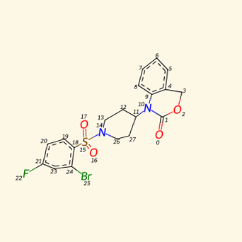 O=C1OCc2ccccc2N1C1CCN(S(=O)(=O)c2ccc(F)cc2Br)CC1